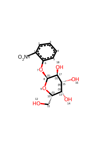 O=[N+]([O-])c1ccccc1O[C@@H]1O[C@@H](CO)[C@@H](O)[C@@H](O)[C@@H]1O